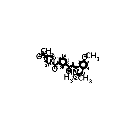 COc1ccc2c(c1)C(=CC(=O)c1cccc(C(=O)N3CCN(C(C)=O)CC3)c1)NC(C)(C)C2